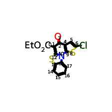 CCOC(=O)c1c(=O)c2cc(Cl)sc2n2c1sc1ccccc12